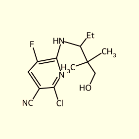 CCC(Nc1nc(Cl)c(C#N)cc1F)C(C)(C)CO